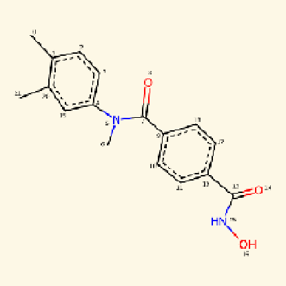 Cc1ccc(N(C)C(=O)c2ccc(C(=O)NO)cc2)cc1C